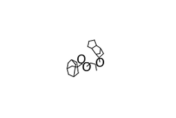 CC(COC(=O)C12CC3CC(CC(C3)C1)C2)OC1CC2CC1C1CCCC21